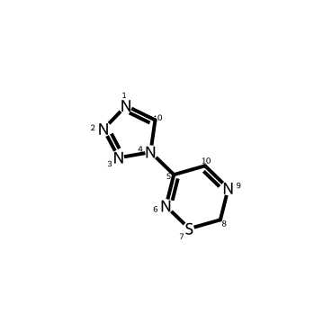 [c]1nnnn1C1=NSCN=C1